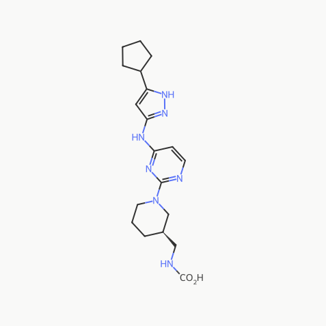 O=C(O)NC[C@H]1CCCN(c2nccc(Nc3cc(C4CCCC4)[nH]n3)n2)C1